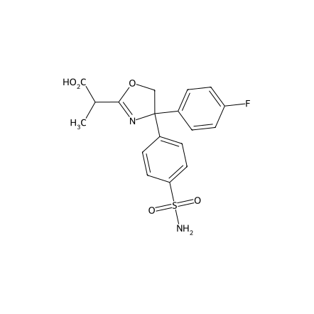 CC(C(=O)O)C1=NC(c2ccc(F)cc2)(c2ccc(S(N)(=O)=O)cc2)CO1